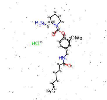 COc1cc(CNC(=O)CCCCC=CC(C)C)ccc1OC(=O)N1CCCC[C@H]1CN.Cl